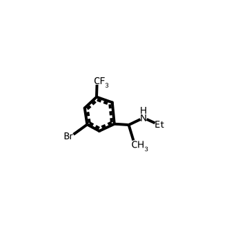 CCNC(C)c1cc(Br)cc(C(F)(F)F)c1